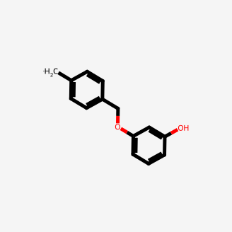 [CH2]c1ccc(COc2cccc(O)c2)cc1